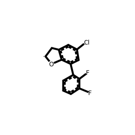 Fc1cccc(-c2cc(Cl)cc3c2O[CH]C3)c1F